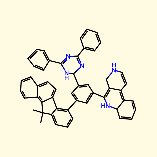 CC1(C)c2cccc(-c3cc(C4=C5CNC=CC5=C5C=CC=CC5N4)cc(C4N=C(c5ccccc5)N=C(c5ccccc5)N4)c3)c2-c2ccc3ccccc3c21